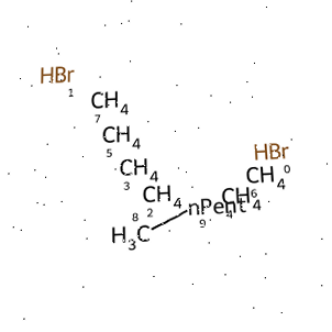 Br.Br.C.C.C.C.C.C.CCCCCC